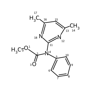 COC(=O)N(c1ccccc1)c1nc(C)cc(C)n1